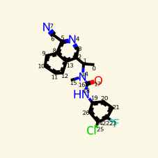 CC(c1cnc(C#N)c2ccccc12)N(C)C(=O)Nc1ccc(F)c(Cl)c1